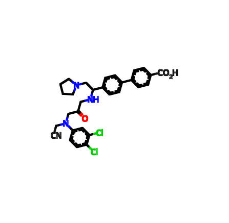 N#CCN(CC(=O)CNC(CN1CCCC1)c1ccc(-c2ccc(C(=O)O)cc2)cc1)c1ccc(Cl)c(Cl)c1